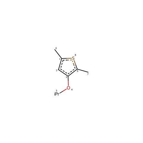 Cc1cc(OC(C)C)c(C)s1